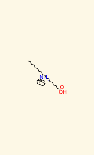 CCCCCCCCCCCCCCCCCC(=O)O.NC12CC3CC(CC(C3)C1)C2